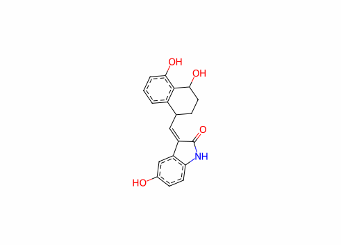 O=C1Nc2ccc(O)cc2C1=CC1CCC(O)c2c(O)cccc21